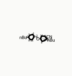 CCCC[C@H]1CC[C@H](CO[C@H]2CC[C@@](C#N)(CCCC)CC2)CC1